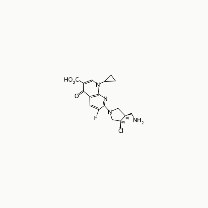 NC[C@@H]1CN(c2nc3c(cc2F)c(=O)c(C(=O)O)cn3C2CC2)C[C@@H]1Cl